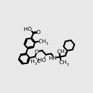 Cc1cc(-c2ccccc2[C@@H](C)OC[C@@H](O)CNC(C)(C)CC2CCCCC2)ccc1C(=O)O